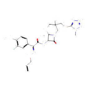 C=CCON=C(C(=O)NC1C(=O)N2CC(CSc3nnnn3C)(C(=O)O)CS[C@H]12)c1ccc(OC)c(Cl)c1